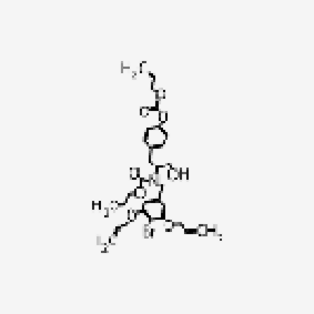 C=CCOC(=O)Oc1ccc(C[C@@H](CO)N(Cc2cc(OCC=C)c(Br)c(OCC=C)c2)C(=O)OCC=C)cc1